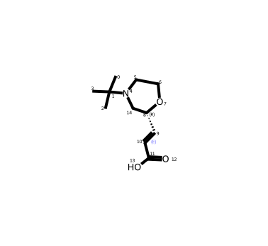 CC(C)(C)N1CCO[C@H](/C=C/C(=O)O)C1